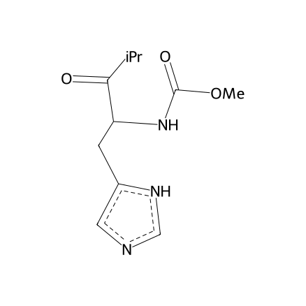 COC(=O)NC(Cc1cnc[nH]1)C(=O)C(C)C